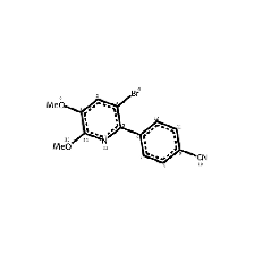 COc1cc(Br)c(-c2ccc(C#N)cc2)nc1OC